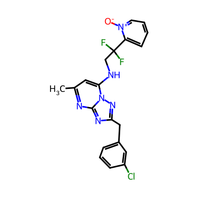 Cc1cc(NCC(F)(F)c2cccc[n+]2[O-])n2nc(Cc3cccc(Cl)c3)nc2n1